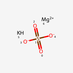 O=S(=O)([O-])[O-].[KH].[Mg+2]